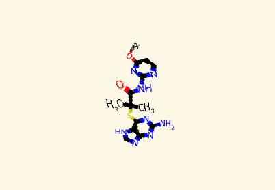 CC(C)Oc1ccnc(NC(=O)C(C)(C)Sc2nc(N)nc3nc[nH]c23)n1